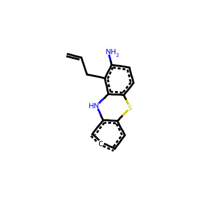 C=CCc1c(N)ccc2c1Nc1ccccc1S2